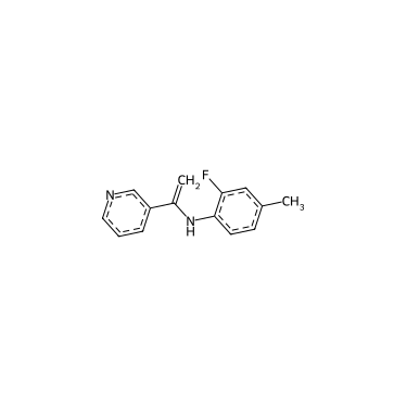 C=C(Nc1ccc(C)cc1F)c1cccnc1